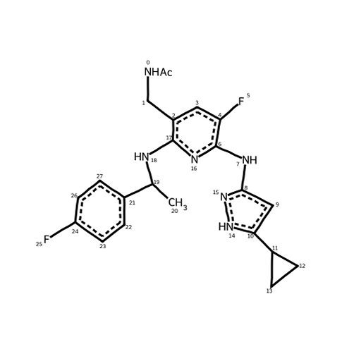 CC(=O)NCc1cc(F)c(Nc2cc(C3CC3)[nH]n2)nc1NC(C)c1ccc(F)cc1